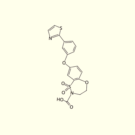 O=C(O)N1CCOc2ccc(Oc3cccc(-c4nccs4)c3)cc2S1(=O)=O